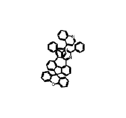 c1ccc(-c2cc(-c3cccc4c3-c3c(-c5ccc(-c6ccnc7ccccc67)cc5)cccc3C43c4ccccc4Oc4ccccc43)nc(-c3ccccc3)n2)cc1